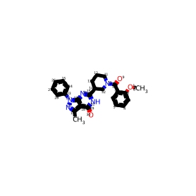 COc1ccccc1C(=O)N1CCCC(c2nc3c(c(C)nn3-c3ccccc3)c(=O)[nH]2)C1